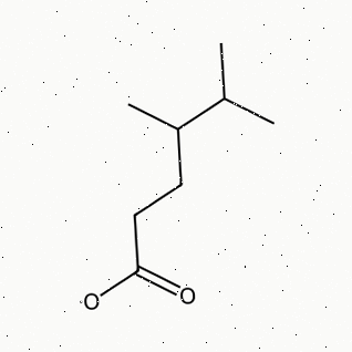 CC(C)C(C)CCC([O])=O